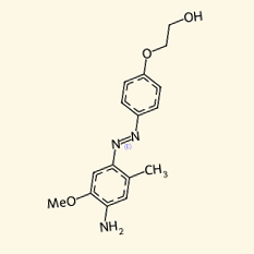 COc1cc(/N=N/c2ccc(OCCO)cc2)c(C)cc1N